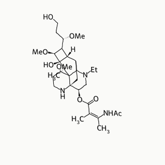 CCN1C[C@@H](OC(=O)/C(C)=C(/C)NC(C)=O)[C@@]23CC4C1C2([C@@H](OC)CCN3)[C@H](C)[C@@]1(O)[C@@H]4C([C@H](CCO)OC)[C@@H]1OC